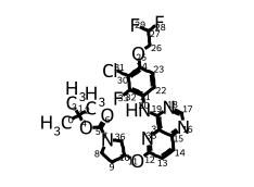 CC(C)(C)OC(=O)N1CC[C@H](Oc2ccc3ncnc(Nc4ccc(OCC(F)F)c(Cl)c4F)c3n2)C1